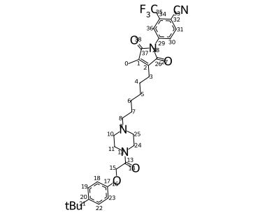 CC1=C(CCCCCCN2CCN(C(=O)COc3ccc(C(C)(C)C)cc3)CC2)C(=O)N(c2ccc(C#N)c(C(F)(F)F)c2)C1=O